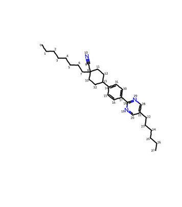 CCCCCCCCC1(C#N)CCC(c2ccc(-c3ncc(CCCCCC)cn3)cc2)CC1